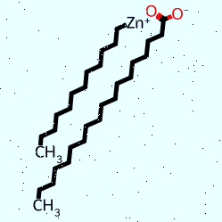 CCCCCCCCCCCCCCCCCC(=O)[O-].CCCCCCCCCCC[CH2][Zn+]